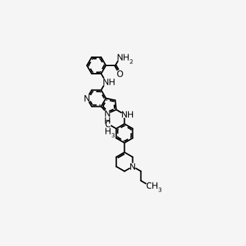 CCCN1CCC=C(c2ccc(Nc3cc4c(Nc5ccccc5C(N)=O)cncc4[nH]3)c(C)c2)C1